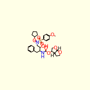 COc1ccc(S(=O)(=O)N(CC(O)C(Cc2ccccc2)NC(=O)OC2CO[C@@H]3OCC[C@H]23)OC2CCCC2)cc1